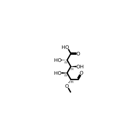 CO[C@@H](C=O)[C@@H](O)[C@H](O)[C@H](O)C(=O)O